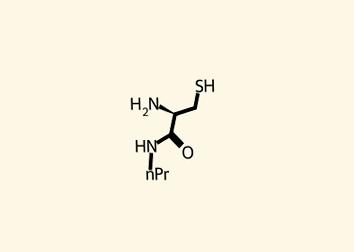 [CH2]CCNC(=O)[C@@H](N)CS